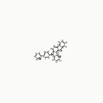 c1ccc(-c2ccc(-n3c4cccnc4c4c5sc6ccccc6c5ccc43)cc2)nc1